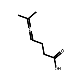 CC(C)=C=CCCC(=O)O